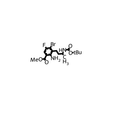 COC(=O)c1cc(F)c(Br)c(CCC(C)NC(=O)OC(C)(C)C)c1N